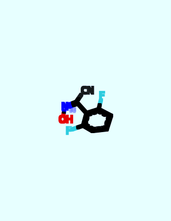 N#C/C(=N/O)c1c(F)cccc1F